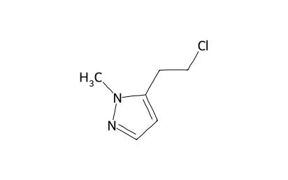 Cn1nccc1CCCl